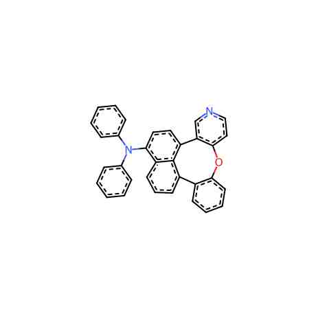 c1ccc(N(c2ccccc2)c2ccc3c4c(cccc24)-c2ccccc2Oc2ccncc2-3)cc1